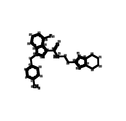 Cc1ccc(Cn2nc(C(=O)NCCc3nc4c(s3)CCCC4)c3c(F)cccc32)cc1